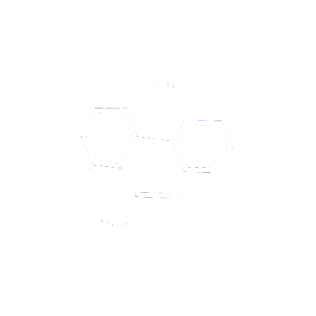 COC(=O)c1cccc(C(=O)O)c1-c1ccccn1